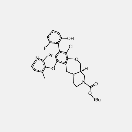 Cc1ccnc(C(C)C)c1Oc1cc(-c2c(O)cccc2F)c(Cl)c2c1CN1CCN(C(=O)OC(C)(C)C)C[C@H]1CO2